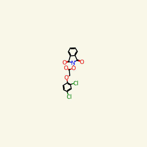 O=C(COc1ccc(Cl)cc1Cl)ON1C(=O)c2ccccc2C1=O